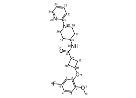 COc1ccc(F)cc1OC1CC(C(=O)NC2CCN(c3ccccn3)CC2)C1